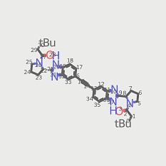 CC(C)(C)CC(=O)N1CCCC1c1nc2cc(C#Cc3ccc4[nH]c([C@@H]5CCCN5C(=O)CC(C)(C)C)nc4c3)ccc2[nH]1